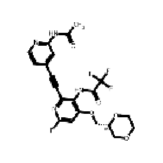 CC(=O)Nc1cc(C#Cc2nc(F)cc(OC[C@H]3COCCO3)c2NC(=O)C(F)(F)F)ccn1